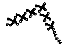 O=[Te](=O)([O-])Br.O=[Te](=O)([O-])Br.O=[Te](=O)([O-])Br.O=[Te](=O)([O-])Br.O=[Te](=O)([O-])Br.O=[Te](=O)([O-])Br.[K+].[K+].[K+].[K+].[K+].[K+]